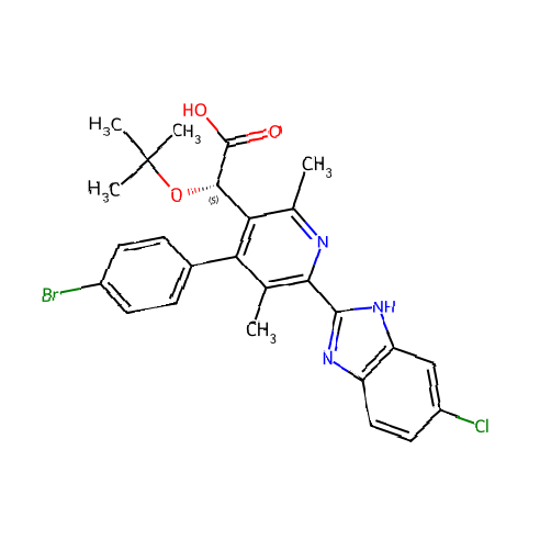 Cc1nc(-c2nc3ccc(Cl)cc3[nH]2)c(C)c(-c2ccc(Br)cc2)c1[C@H](OC(C)(C)C)C(=O)O